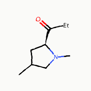 CCC(=O)[C@@H]1CC(C)CN1C